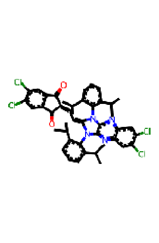 CC(C)c1cccc(C(C)C)c1N1C(=CC=C2C(=O)c3cc(Cl)c(Cl)cc3C2=O)N(c2c(C(C)C)cccc2C(C)C)c2nc3cc(Cl)c(Cl)cc3nc21